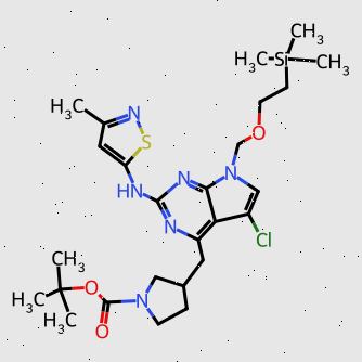 Cc1cc(Nc2nc(CC3CCN(C(=O)OC(C)(C)C)C3)c3c(Cl)cn(COCC[Si](C)(C)C)c3n2)sn1